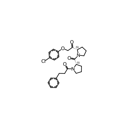 O=C(COc1ccc(Cl)cc1)[C@@H]1CCCN1C(=O)[C@@H]1CCCN1C(=O)CCc1ccccc1